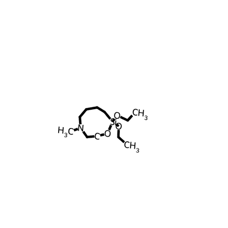 CCO[Si]1(OCC)CCCCN(C)CCO1